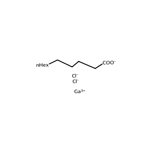 CCCCCCCCCCC(=O)[O-].[Cl-].[Cl-].[Ga+3]